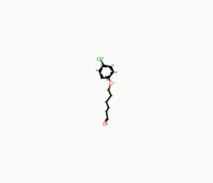 O=[C]CCCCCOc1ccc(Cl)cc1